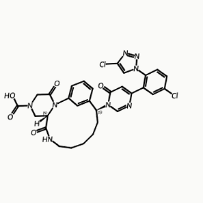 O=C1NCCCCC[C@H](n2cnc(-c3cc(Cl)ccc3-n3cc(Cl)nn3)cc2=O)c2cccc(c2)N2C(=O)CN(C(=O)O)C[C@@H]12